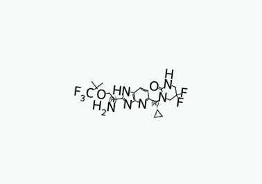 CC(C)(OC[C@H](N)c1nc2nc([C@@H](C3CC3)N3CC(F)(F)CNC3=O)ccc2[nH]1)C(F)(F)F